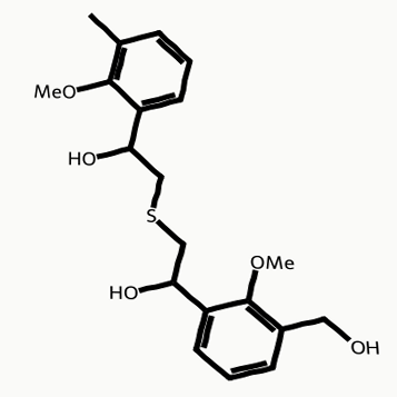 COc1c(C)cccc1C(O)CSCC(O)c1cccc(CO)c1OC